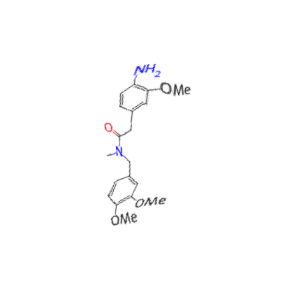 COc1cc(CC(=O)N(C)Cc2ccc(OC)c(OC)c2)ccc1N